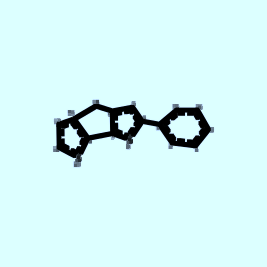 c1ccc(-c2cc3c(s2)-c2sccc2C3)cc1